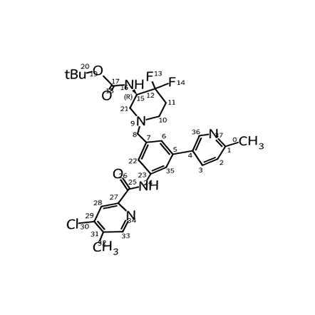 Cc1ccc(-c2cc(CN3CCC(F)(F)[C@H](NC(=O)OC(C)(C)C)C3)cc(NC(=O)c3cc(Cl)c(C)cn3)c2)cn1